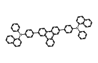 c1ccc(N(c2ccc(-c3ccc4c5ccc(-c6ccc(N(c7ccccc7)c7cccc8ccccc78)cc6)cc5c5ccccc5c4c3)cc2)c2cccc3ccccc23)cc1